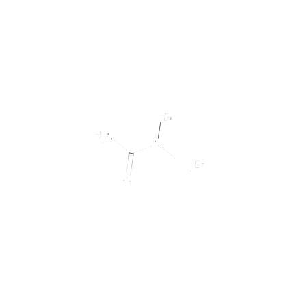 CCOC(=O)N(C(N)=O)C(C)(C)C